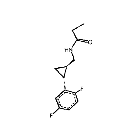 CCC(=O)NC[C@@H]1C[C@H]1c1cc(F)ccc1F